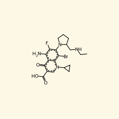 CCNCC1CCCN1c1c(F)c(N)c2c(=O)c(C(=O)O)cn(C3CC3)c2c1Br